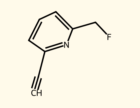 C#Cc1cccc(CF)n1